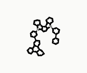 c1ccc(-c2cccc(-n3c4ccccc4c4c5c6ccccc6n(-c6cccc(-c7ccc8c9ccccc9c9ccccc9c8c7)c6)c5ccc43)c2)cc1